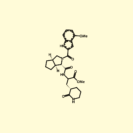 COC(=O)C(C[C@@H]1CCCNC1=O)NC(=O)[C@@H]1[C@H]2CCC[C@H]2CN1C(=O)c1cc2c(OC)cccc2[nH]1